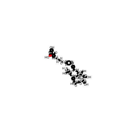 Nc1nc(O)c2nc(CNc3ccc(C(=O)N[C@@H](CCC(=O)N[C@@H](CC(=O)O)C(=O)N[C@@H](CC(=O)O)C(=O)N[C@@H](CC(=O)O)C(=O)N[C@@H](CCCCNC(=O)c4ccc(-n5nnc6c5CC[C@H]5[C@@H](CC6)[C@H]5COC(=O)NCCNC(=S)Nc5ccc6c(c5)C(=O)OC65c6ccc(O)cc6Oc6cc(O)ccc65)cc4)C(=O)O)C(=O)O)cc3)cnc2n1